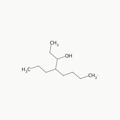 [CH2]CCCC(CCC)C(O)CC